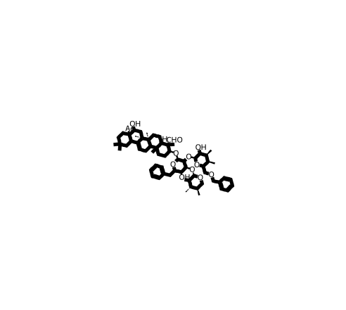 CC(=O)[C@]12CCC(C)(C)CC1C1=CCC3C4(C)CC[C@H](O[C@@H]5OC(Cc6ccccc6)[C@@H](O)[C@H](O[C@@H]6OC[C@@H](C)[C@H](C)C6C)C5O[C@@H]5OC(COCc6ccccc6)[C@H](C)[C@H](C)C5O)[C@](C)(C=O)[C@@H]4CC[C@]3(C)[C@]1(C)CC2O